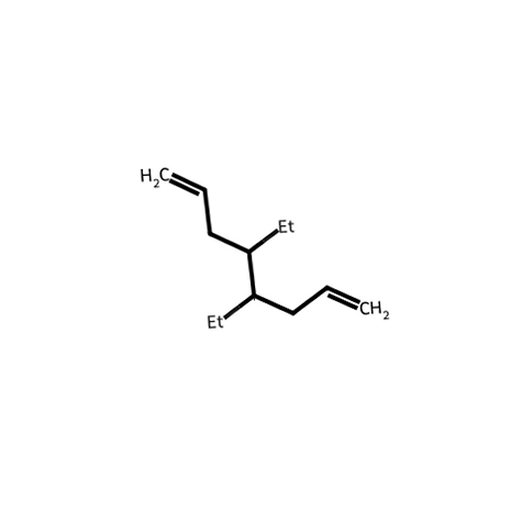 C=CC[C](CC)C(CC)CC=C